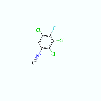 [C-]#[N+]c1cc(Cl)c(F)c(Cl)c1Cl